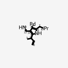 C=CC(C)c1[nH]c(CC(C)C)[c]([Pd])c1C=N